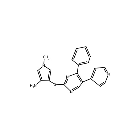 Cn1cc(N)c(Sc2ncc(-c3ccncc3)c(-c3ccccc3)n2)c1